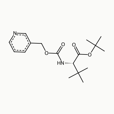 CC(C)(C)OC(=O)[C@@H](NC(=O)OCc1cccnc1)C(C)(C)C